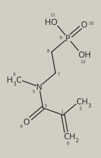 C=C(C)C(=O)N(C)CCP(=O)(O)O